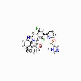 Cn1cncc1COc1cccc(-c2cc(F)c(Cc3nc4ccc(C(=O)O)cc4n3CC3CCO3)cc2F)n1